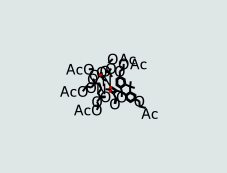 CC(=O)CCOc1ccc2c(c1)C(C)(C)c1cc(OCOC(C)=O)ccc1C21OC(=O)c2cc(N(CC(=O)OCOC(C)=O)CC(=O)OCOC(C)=O)c(N(CC(=O)OCOC(C)=O)CC(=O)OCOC(C)=O)cc21